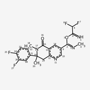 C/N=C(\OC(=N)C(F)F)c1cnc2c(c1)C(=O)N(C)C(C)(c1ccc(F)c(F)c1)C2